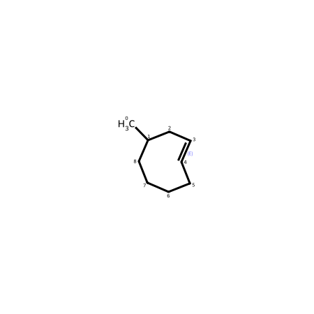 CC1C/C=C/CCCC1